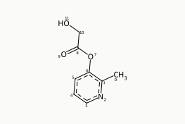 Cc1ncccc1OC(=O)CO